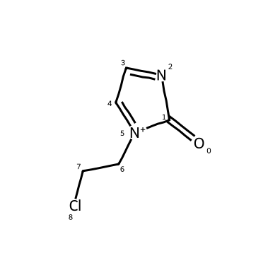 O=C1N=CC=[N+]1CCCl